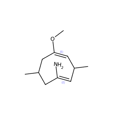 CO/C1=C/C(C)/C=C(\N)CC(C)C1